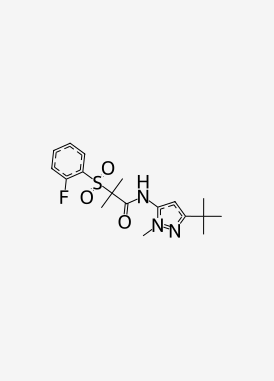 Cn1nc(C(C)(C)C)cc1NC(=O)C(C)(C)S(=O)(=O)c1ccccc1F